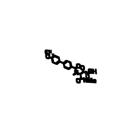 CNC(=O)C(C(=O)NO)N(C)C(=O)c1ccc(-c2ccc(OC(F)(F)F)cc2)cc1